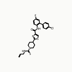 C=CCNC(=S)N1CCC(c2nc(C(=O)Nc3ccc(F)cc3-c3ccc(Cl)cc3)cs2)CC1